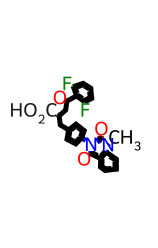 Cn1c(=O)n(-c2ccc(CC(CC(=O)c3c(F)cccc3F)C(=O)O)cc2)c(=O)c2ccccc21